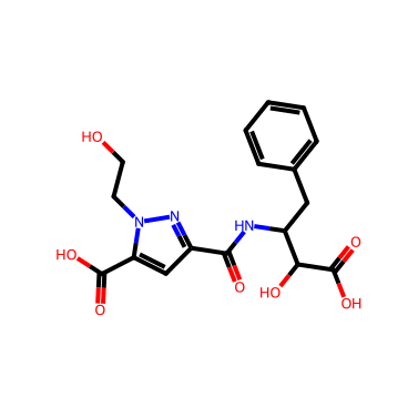 O=C(NC(Cc1ccccc1)C(O)C(=O)O)c1cc(C(=O)O)n(CCO)n1